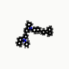 c1ccc(-n2c3ccc(-c4ccc5c6ccccc6n(-c6ccc7cc(-c8ccc9c(c8)-c8cccc%10cccc-9c8%10)ccc7c6)c5c4)cc3c3ccc4ccccc4c32)cc1